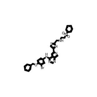 O=S(=O)(CCNCc1nc(-c2cc3c(Nc4ccc(OCc5ccccc5)c(Br)c4)ncnc3cn2)cs1)c1ccccc1